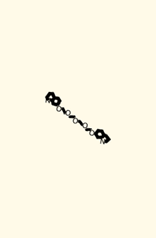 c1cnc2cc(OCCOCCOCCOCCOc3ccc4cccnc4c3)ccc2c1